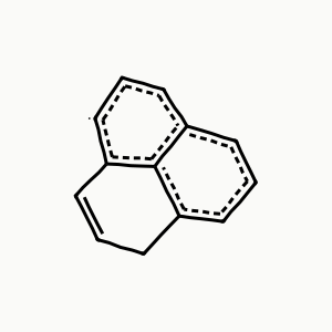 [c]1ccc2cccc3c2c1C=CC3